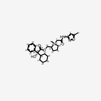 Cc1cc(NC(=O)C[N+]2(C)CCCC2COC(=O)[C@](O)(c2ccccc2)C2CCCCC2)no1